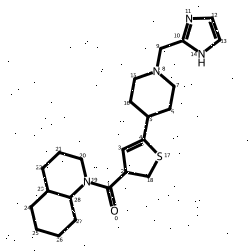 O=C(C1C=C(C2CCN(Cc3ncc[nH]3)CC2)SC1)N1CCCC2CCCCC21